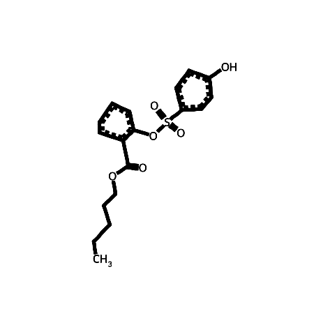 CCCCCOC(=O)c1ccccc1OS(=O)(=O)c1ccc(O)cc1